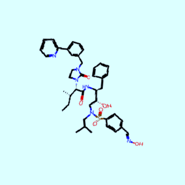 CC[C@H](C)[C@@H](C(=O)N[C@@H](Cc1ccccc1)[C@H](O)CN(CC(C)C)S(=O)(=O)c1ccc(C=NO)cc1)N1CCN(Cc2cccc(-c3ccccn3)c2)C1=O